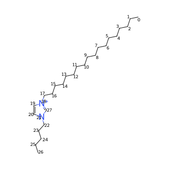 CCCCCCCCCCCCCCCCCC[n+]1ccn(CCCCC)c1